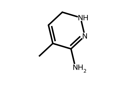 CC1=CCNN=C1N